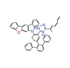 C=C/C=C\C=C(/C)C1=NCNC(C2=C(n3c4ccccc4c4cc5c(cc43)oc3ccccc35)CCC(c3c(-c4ccccc4)cccc3-c3ccccc3)=C2)N1